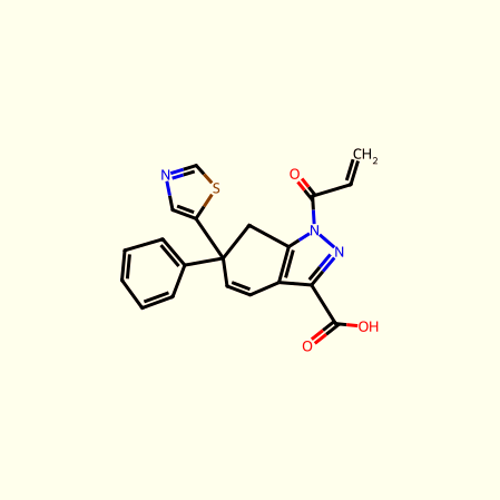 C=CC(=O)n1nc(C(=O)O)c2c1CC(c1ccccc1)(c1cncs1)C=C2